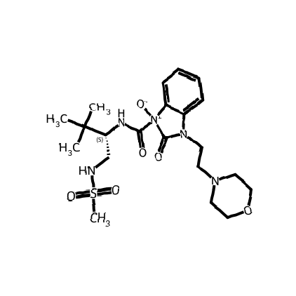 CC(C)(C)[C@@H](CNS(C)(=O)=O)NC(=O)[N+]1([O-])C(=O)N(CCN2CCOCC2)c2ccccc21